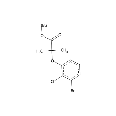 CC(C)(C)OC(=O)C(C)(C)Oc1cccc(Br)c1Cl